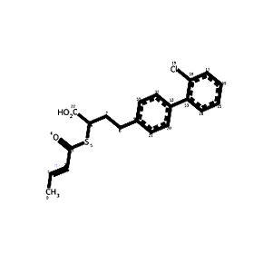 C/C=C/C(=O)SC(CCc1ccc(-c2ccccc2Cl)cc1)C(=O)O